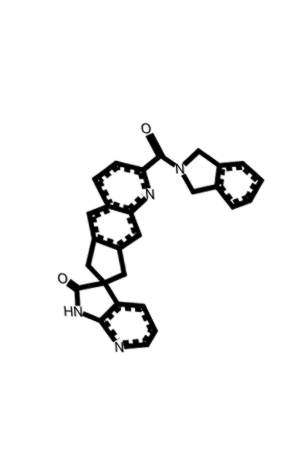 O=C(c1ccc2cc3c(cc2n1)CC1(C3)C(=O)Nc2ncccc21)N1Cc2ccccc2C1